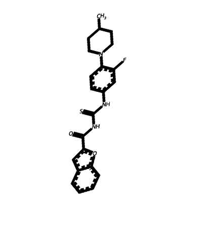 CC1CCN(c2ccc(NC(=S)NC(=O)c3cc4ccccc4o3)cc2F)CC1